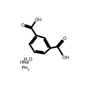 O.O=C(O)c1cccc(C(=O)O)c1.P.[NaH]